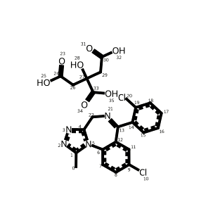 Cc1nnc2n1-c1ccc(Cl)cc1C(c1ccccc1Cl)=NC2.O=C(O)CC(O)(CC(=O)O)C(=O)O